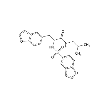 CC(C)CNC(=O)C(Cc1ccc2occc2c1)NS(=O)(=O)c1ccc2occc2c1